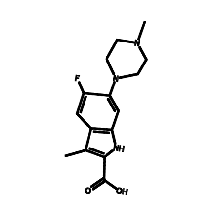 Cc1c(C(=O)O)[nH]c2cc(N3CCN(C)CC3)c(F)cc12